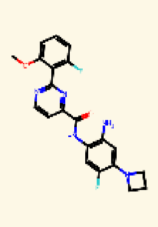 COc1cccc(F)c1-c1nccc(C(=O)Nc2cc(F)c(N3CCC3)cc2N)n1